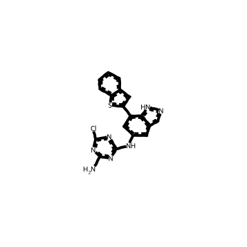 Nc1nc(Cl)nc(Nc2cc(-c3cc4ccccc4s3)c3[nH]ncc3c2)n1